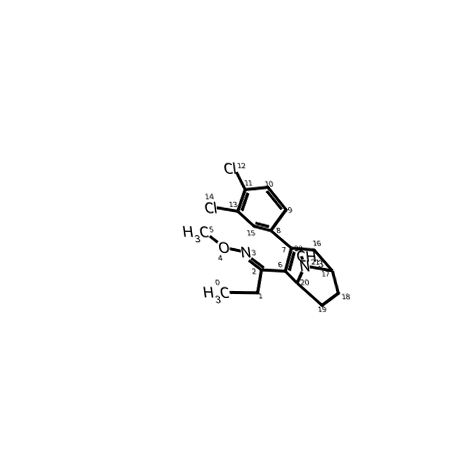 CCC(=NOC)C1=C(c2ccc(Cl)c(Cl)c2)CC2CCC1N2C